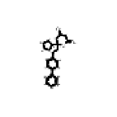 O=C1CC(=O)OC(CCc2ccc(-c3ccccc3)cc2)(C2CCCC2)C1